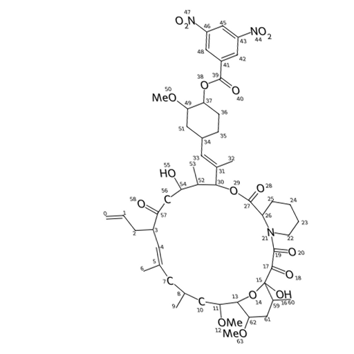 C=CCC1/C=C(\C)CC(C)CC(OC)C2OC(O)(C(=O)C(=O)N3CCCCC3C(=O)OC(C(C)=CC3CCC(OC(=O)c4cc([N+](=O)[O-])cc([N+](=O)[O-])c4)C(OC)C3)C(C)C(O)CC1=O)C(C)CC2OC